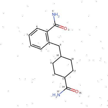 NC(=O)c1ccc[c]c1CC1CCC(C(N)=O)CC1